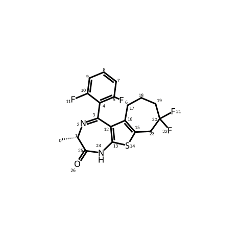 C[C@@H]1N=C(c2c(F)cccc2F)c2c(sc3c2CCCC(F)(F)C3)NC1=O